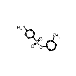 Cc1cccc(OS(=O)(=O)c2ccc(N)cc2)c1